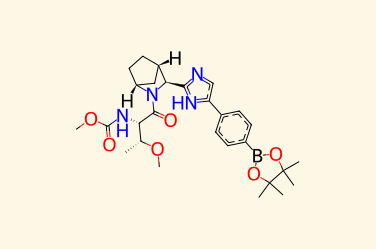 COC(=O)N[C@H](C(=O)N1[C@@H]2CC[C@@H](C2)[C@H]1c1ncc(-c2ccc(B3OC(C)(C)C(C)(C)O3)cc2)[nH]1)[C@@H](C)OC